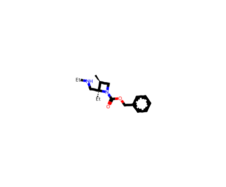 CCNC[C@@]1(CC)[C@@H](C)CN1C(=O)OCc1ccccc1